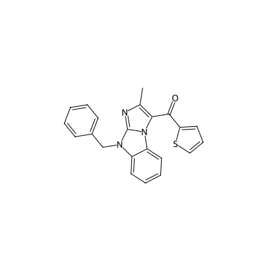 Cc1nc2n(Cc3ccccc3)c3ccccc3n2c1C(=O)c1cccs1